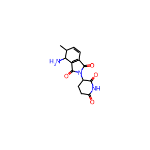 CC1C=CC2=C(C(=O)N(C3CCC(=O)NC3=O)C2=O)C1N